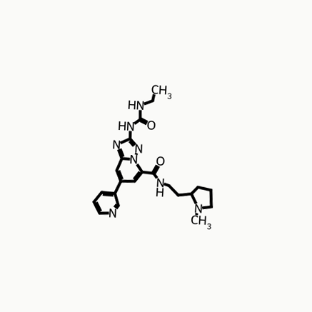 CCNC(=O)Nc1nc2cc(-c3cccnc3)cc(C(=O)NCCC3CCCN3C)n2n1